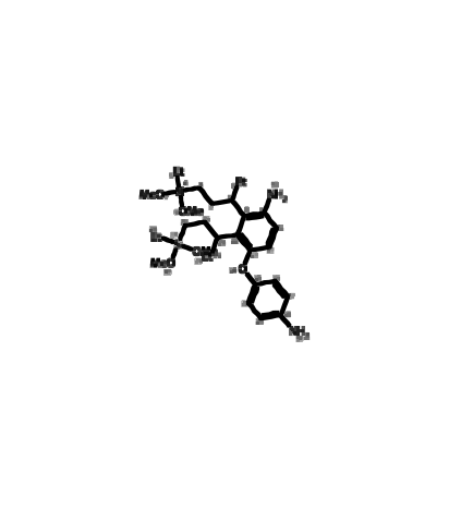 CCC(CC[Si](CC)(OC)OC)c1c(N)ccc(Oc2ccc(N)cc2)c1C(CC)CC[Si](CC)(OC)OC